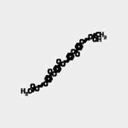 C=CC(=O)OCCCOc1ccc(C(=O)Oc2ccc(C(=O)OCCc3ccc(OC(=O)c4ccc(OCCCOC(O)C=C)cc4)cc3)cc2)cc1